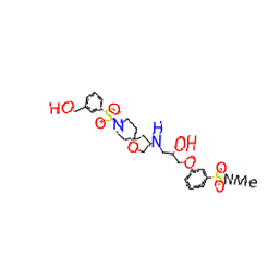 CNS(=O)(=O)c1cccc(OC[C@@H](O)CNC2COC3(CCN(S(=O)(=O)c4cccc(CO)c4)CC3)C2)c1